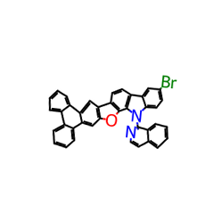 Brc1ccc2c(c1)c1ccc3c4cc5c6ccccc6c6ccccc6c5cc4oc3c1n2-c1nccc2ccccc12